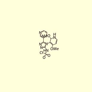 COC1=C(n2c(NS(=O)(=O)Cl)nnc2-c2cccnc2)C(OC)NC=C1